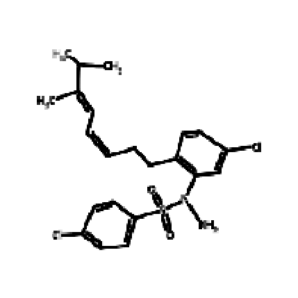 C/C(=C\C=C/CCc1ccc(Cl)cc1N(N)S(=O)(=O)c1ccc(Cl)cc1)C(C)C